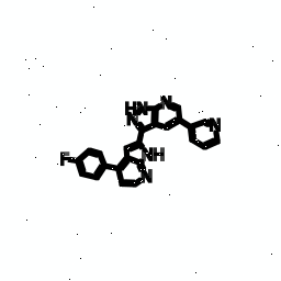 Fc1ccc(-c2ccnc3[nH]c(-c4n[nH]c5ncc(-c6cccnc6)cc45)cc23)cc1